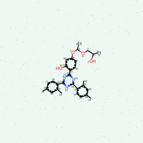 CCC(O)COC(CC)Oc1ccc(-c2nc(-c3ccc(C)cc3C)nc(-c3ccc(C)cc3C)n2)c(O)c1